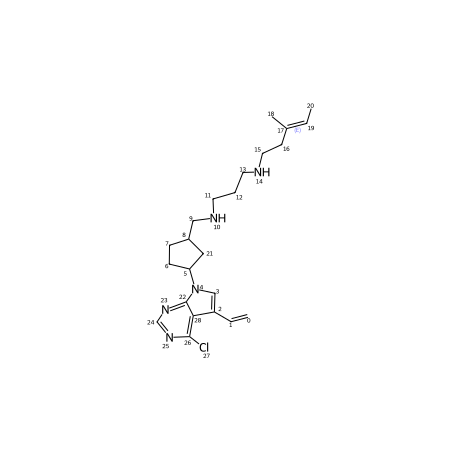 C=Cc1cn(C2CCC(CNCCCNCC/C(C)=C/C)C2)c2ncnc(Cl)c12